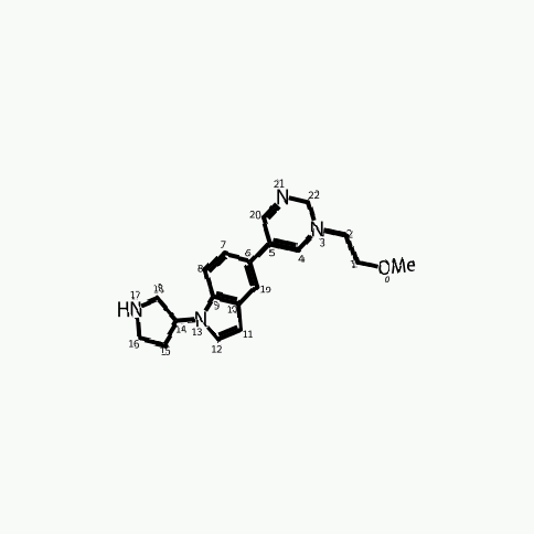 COCCN1C=C(c2ccc3c(ccn3C3CCNC3)c2)C=NC1